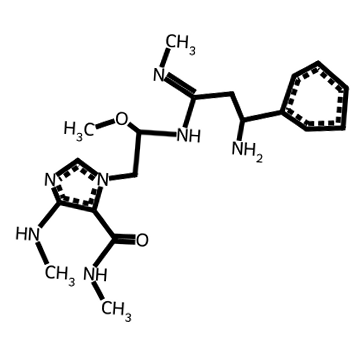 C/N=C(\CC(N)c1ccccc1)NC(Cn1cnc(NC)c1C(=O)NC)OC